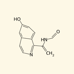 C=C(NC=O)c1nccc2cc(O)ccc12